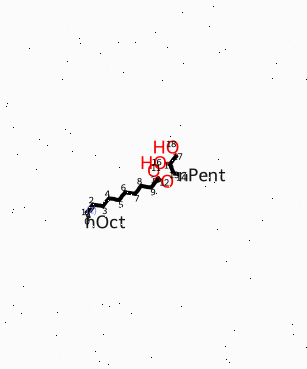 CCCCCCCC/C=C\CCCCCCCC(=O)OC(CCCCC)C(O)CO